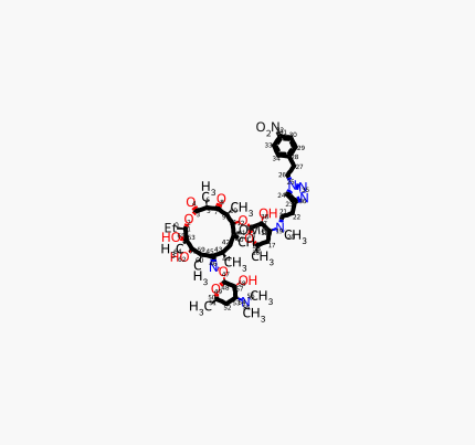 CC[C@H]1OC(=O)[C@H](C)C(=O)[C@H](C)[C@@H](O[C@@H]2O[C@H](C)C[C@H](N(C)CCc3cn(CCc4ccc([N+](=O)[O-])cc4)nn3)[C@H]2O)[C@](C)(OC)C[C@@H](C)/C(=N\O[C@H]2O[C@H](C)C[C@H](N(C)C)[C@H]2O)[C@H](C)[C@@H](O)[C@]1(C)O